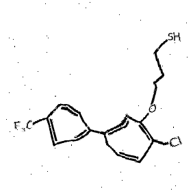 FC(F)(F)c1ccc(-c2ccc(Cl)c(OCCCS)c2)cc1